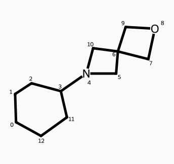 C1CCC(N2CC3(COC3)C2)CC1